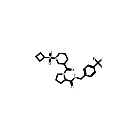 O=C(NCc1ccc(C(F)(F)F)cc1)C1CCCN1C(=O)C1CCCN(S(=O)(=O)C2CCC2)C1